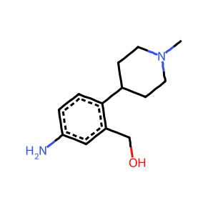 CN1CCC(c2ccc(N)cc2CO)CC1